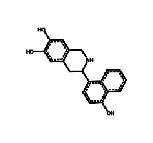 Oc1cc2c(cc1O)CC(c1ccc(O)c3ccccc13)NC2